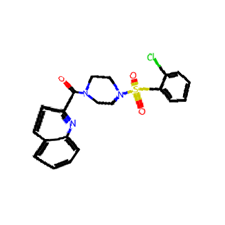 O=C(c1ccc2ccccc2n1)N1CCN(S(=O)(=O)c2ccccc2Cl)CC1